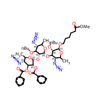 CCCCOC1[C@H](N=[N+]=[N-])C(C)O[C@H](OC2[C@H](N=[N+]=[N-])C(C)O[C@H](OCCCCCC(=O)OC)[C@@H]2OCCCC)[C@@H]1O[C@H]1OC(C)[C@@H](N=[N+]=[N-])C(OC(=O)c2ccccc2)[C@H]1OC(=O)c1ccccc1